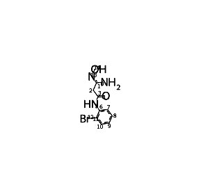 N/C(CC(=O)Nc1ccccc1Br)=N\O